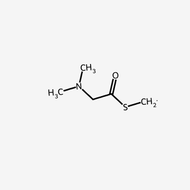 [CH2]SC(=O)CN(C)C